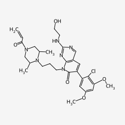 C=CC(=O)N1CC(C)N(CCCn2c(=O)c(-c3cc(OC)cc(OC)c3Cl)cc3cnc(NCCO)nc32)C(C)C1